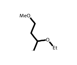 [CH2]C(CCOC)OCC